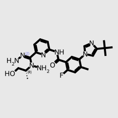 Cc1cc(F)c(C(=O)Nc2cccc(/C(=N/N)N(N)[C@H](C)CO)n2)cc1-n1cnc(C(C)(C)C)c1